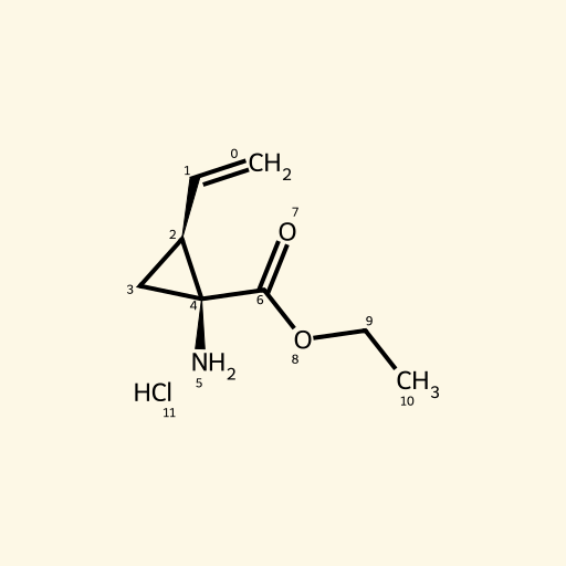 C=C[C@@H]1C[C@@]1(N)C(=O)OCC.Cl